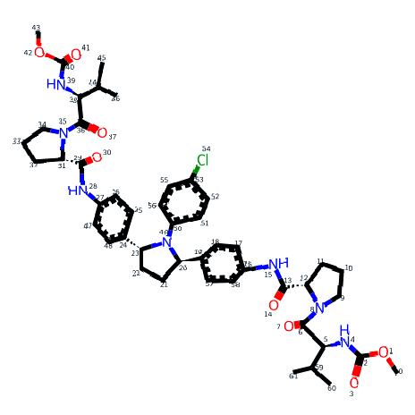 COC(=O)N[C@H](C(=O)N1CCC[C@H]1C(=O)Nc1ccc([C@H]2CC[C@H](c3ccc(NC(=O)[C@@H]4CCCN4C(=O)[C@@H](NC(=O)OC)C(C)C)cc3)N2c2ccc(Cl)cc2)cc1)C(C)C